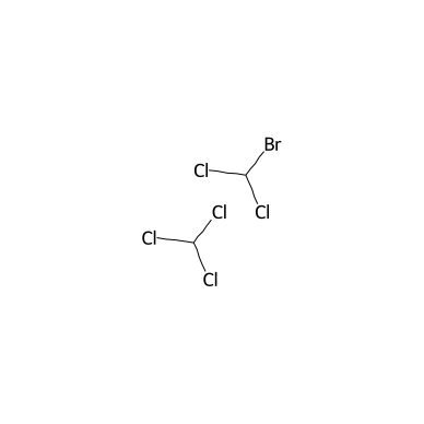 ClC(Cl)Br.ClC(Cl)Cl